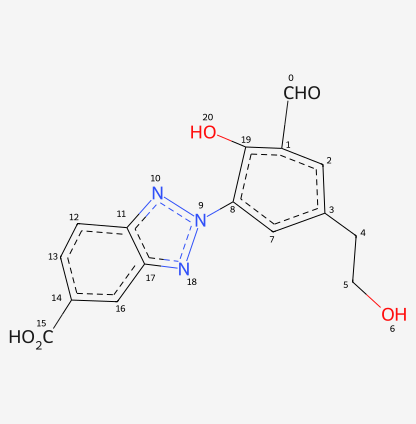 O=Cc1cc(CCO)cc(-n2nc3ccc(C(=O)O)cc3n2)c1O